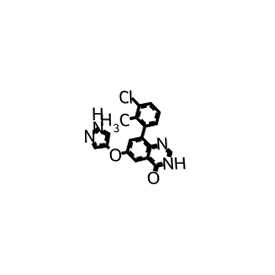 Cc1c(Cl)cccc1-c1cc(Oc2cn[nH]c2)cc2c(=O)[nH]cnc12